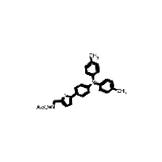 CC(=O)O/N=C/c1ccc(-c2ccc(N(c3ccc(C)cc3)c3ccc(C)cc3)cc2)s1